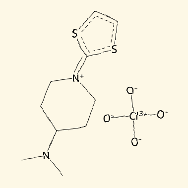 CN(C)C1CC[N+](=c2sccs2)CC1.[O-][Cl+3]([O-])([O-])[O-]